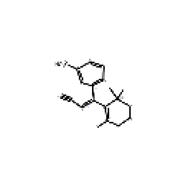 C#C/C=C(/C1=C(C)CCCC1(C)C)c1cccc(C(=O)O)c1